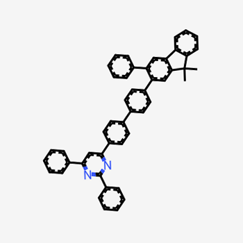 CC1(C)c2ccccc2-c2cc(-c3ccccc3)c(-c3ccc(-c4ccc(-c5cc(-c6ccccc6)nc(-c6ccccc6)n5)cc4)cc3)cc21